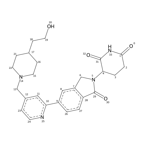 O=C1CCC(N2Cc3cc(-c4cc(CN5CCC(CCO)CC5)ccn4)ccc3C2=O)C(=O)N1